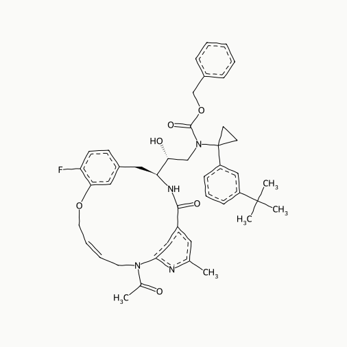 CC(=O)N1CC=CCOc2cc(ccc2F)C[C@@H]([C@H](O)CN(C(=O)OCc2ccccc2)C2(c3cccc(C(C)(C)C)c3)CC2)NC(=O)c2cc(C)nc1c2